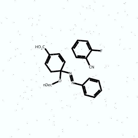 CCCCCCCCCCOC1(N=Nc2ccccc2)C=CC(C(=O)O)=CC1.N#Cc1ccccc1F